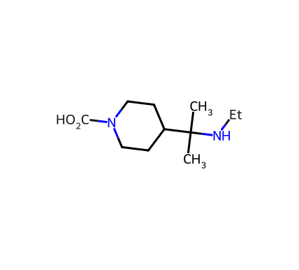 CCNC(C)(C)C1CCN(C(=O)O)CC1